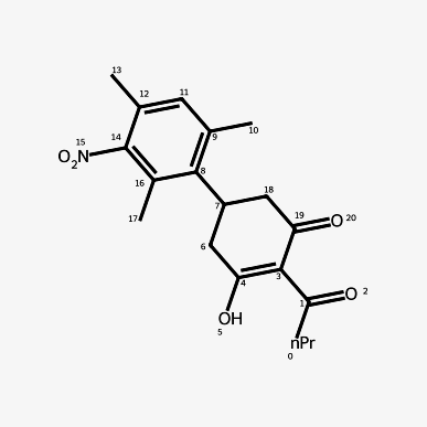 CCCC(=O)C1=C(O)CC(c2c(C)cc(C)c([N+](=O)[O-])c2C)CC1=O